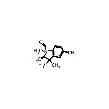 C=C1C(C)(C)c2cc(C)ccc2[N+]1(C)C=O